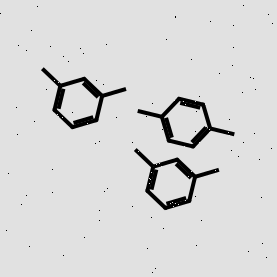 Cc1ccc(C)cc1.Cc1cccc(C)c1.Cc1cccc(C)c1